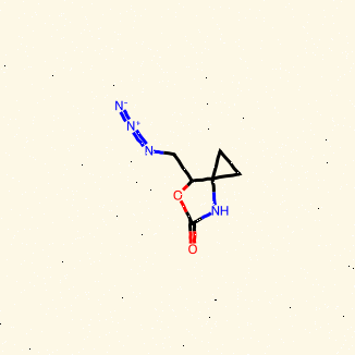 [N-]=[N+]=NCC1OC(=O)NC12CC2